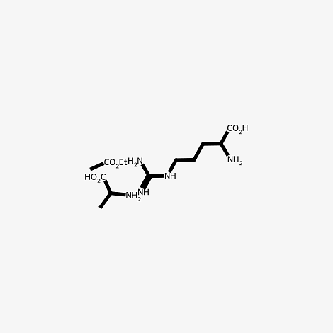 CC(N)C(=O)O.CCOC(C)=O.N=C(N)NCCCC(N)C(=O)O